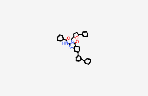 O=C(Nc1nc2cc(-c3cccc(-c4ccccc4)c3)ccc2c(=O)n1CC1CCC(c2ccccc2)O1)c1ccccc1